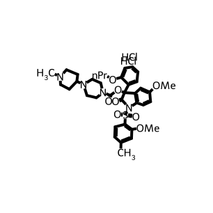 CCCOc1ccccc1C1(OC(=O)N2CCN(C3CCN(C)CC3)CC2)C(=O)N(S(=O)(=O)c2ccc(C)cc2OC)c2ccc(OC)cc21.Cl.Cl